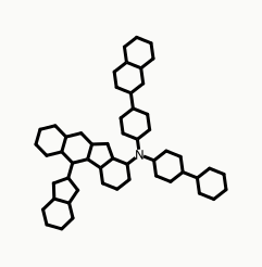 C1CCC(C2CCC(N(C3CCC(C4CCC5CCCCC5C4)CC3)C3CCCC4C3CC3CC5CCCCC5C(C5CC6CCCCC6C5)C34)CC2)CC1